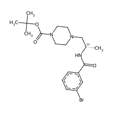 C[C@@H](CN1CCN(C(=O)OC(C)(C)C)CC1)NC(=O)c1cccc(Br)c1